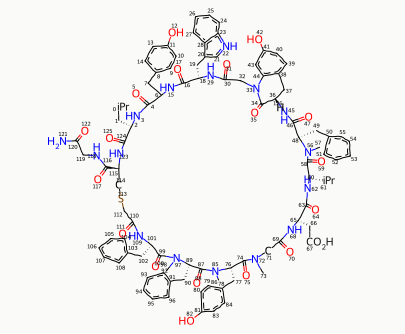 CC(C)C[C@@H]1NC(=O)C(Cc2ccc(O)cc2)NC(=O)[C@H](Cc2c[nH]c3ccccc23)NC(=O)CN2C(=O)[C@H](Cc3ccc(O)cc32)NC(=O)[C@H](Cc2ccccc2)N(C)C(=O)[C@H](C(C)C)NC(=O)[C@H](CC(=O)O)NC(=O)CN(C)C(=O)[C@H](Cc2ccc(O)cc2)N(C)C(=O)[C@H](Cc2ccccc2)N(C)C(=O)[C@H](Cc2ccccc2)NC(=O)CSC[C@@H](C(=O)NCC(N)=O)NC1=O